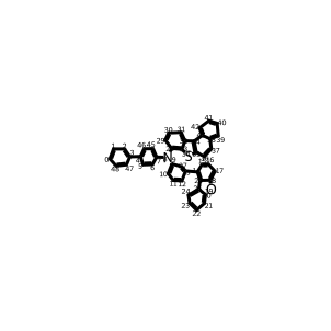 c1ccc(-c2ccc(N(c3cccc(-c4cccc5oc6ccccc6c45)c3)c3cccc4c3sc3ccc5ccccc5c34)cc2)cc1